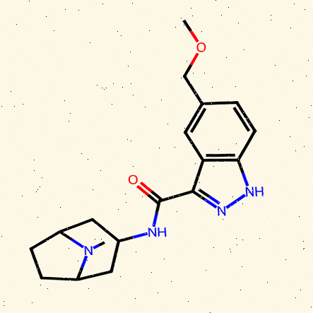 COCc1ccc2[nH]nc(C(=O)NC3CC4CCC(C3)N4C)c2c1